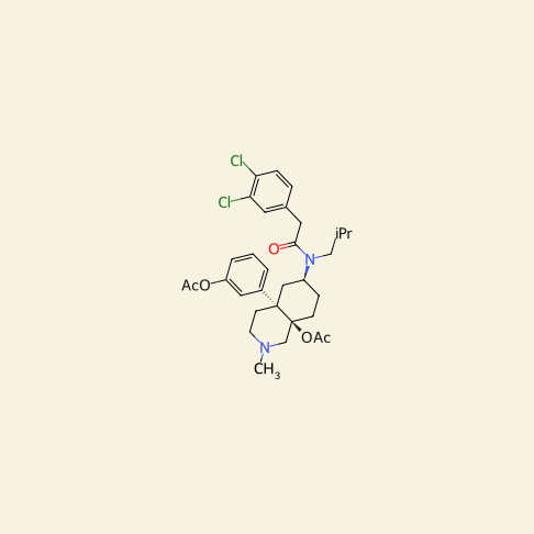 CC(=O)Oc1cccc([C@@]23CCN(C)C[C@@]2(OC(C)=O)CC[C@H](N(CC(C)C)C(=O)Cc2ccc(Cl)c(Cl)c2)C3)c1